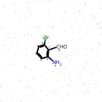 Nc1cccc(Br)c1C=O